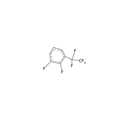 Fc1[c]ccc(C(F)(F)C(F)(F)F)c1F